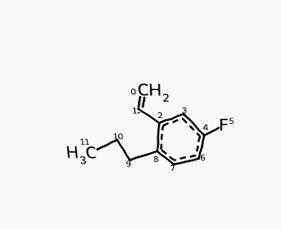 C=[C]c1cc(F)ccc1CCC